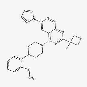 COc1ccccc1C1CCN(c2nc(C3(F)CCC3)nc3cnc(-n4cccc4)cc23)CC1